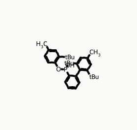 Cc1ccc(OP(O)c2ccccc2-c2c(C(C)(C)C)cc(C)cc2C(C)(C)C)c(C(C)(C)C)c1